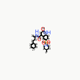 CC1CCN(S(=O)(=O)c2ccc3[nH]c(=O)cc(C(=O)NC(C)CCc4ccccc4)c3c2)CC1